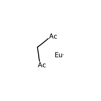 CC(=O)CC(C)=O.[Eu]